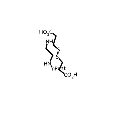 CCCCCNCCN.O=C(O)CCSSCCC(=O)O